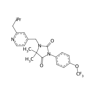 CC(C)Cc1cc(CN2C(=O)N(c3ccc(OC(F)(F)F)cc3)C(=O)C2(C)C)ccn1